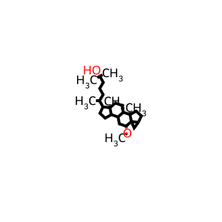 COC1CC2C3CCC(C(C)CCCC(C)(C)O)C3(C)CCC2C2(C)CCC3CC312